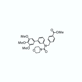 COC(=O)c1ccc(CN(C(=O)N2CCOCC2)c2cccc(-c3cc(OC)c(OC)c(OC)c3)c2)cc1